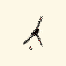 C1CO1.CCCCCCCCCCCCCCCCCC(=O)O[C@H]1[C@@H]([C@@H](CO)OC(=O)CCCCCCCCCCCCCCCCC)OC[C@@H]1OC(=O)CCCCCCCCCCCCCCCCC